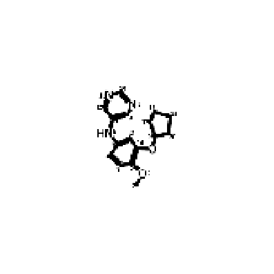 COc1ccc(Nc2cncnc2)cc1OC1CCCC1